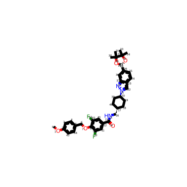 COc1ccc(COc2c(F)cc(C(=O)NC[C@H]3CC[C@H](n4cc5ccc(B6OC(C)(C)C(C)(C)O6)cc5n4)CC3)cc2F)cc1